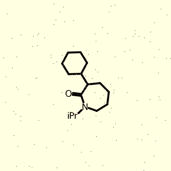 CC(C)N1CCCCC(C2CCCCC2)C1=O